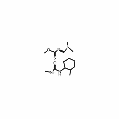 CNC(=O)NC1CCCCC1C.COC(=S)N=CN(C)C